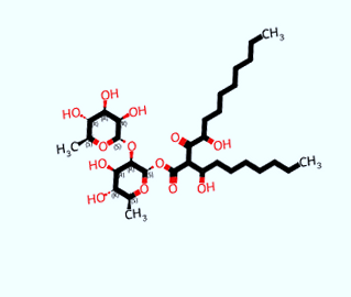 CCCCCCCCC(O)C(=O)C(C(=O)O[C@@H]1O[C@@H](C)[C@H](O)[C@@H](O)[C@H]1O[C@@H]1O[C@@H](C)[C@H](O)[C@@H](O)[C@H]1O)C(O)CCCCCCC